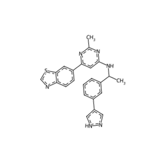 Cc1nc(NC(C)c2cccc(-c3cn[nH]c3)c2)cc(-c2ccc3ncsc3c2)n1